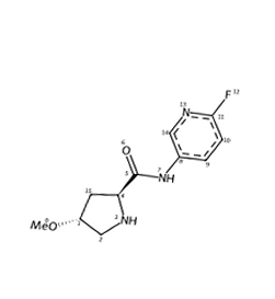 CO[C@H]1CN[C@H](C(=O)Nc2ccc(F)nc2)C1